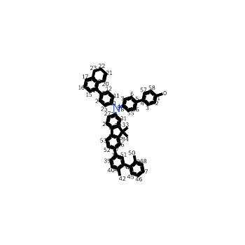 Cc1ccc(-c2ccc(N(c3ccc(-c4cccc5c4C=CCC5)cc3)c3ccc4c(c3)C(C)(C)c3cc(-c5ccc(C)c(-c6ccccc6C)c5)ccc3-4)cc2)cc1